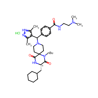 CCCCN1C(=O)[C@H](CC2CCCCC2)NC(=O)C12CCN(C(c1ccc(C(=O)NCCN(C)C)cc1)c1c(C)n[nH]c1C)CC2.Cl